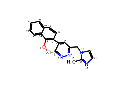 COc1c(-c2cnnc(Cn3ccnc3C)c2)ccc2ccccc12